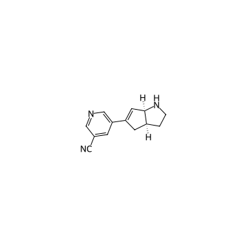 N#Cc1cncc(C2=C[C@H]3NCC[C@H]3C2)c1